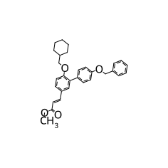 COC(=O)C=Cc1ccc(OCC2CCCCC2)c(-c2ccc(OCc3ccccc3)cc2)c1